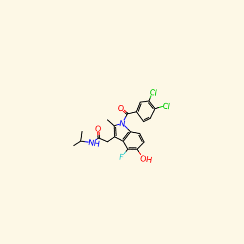 Cc1c(CC(=O)NC(C)C)c2c(F)c(O)ccc2n1C(=O)c1ccc(Cl)c(Cl)c1